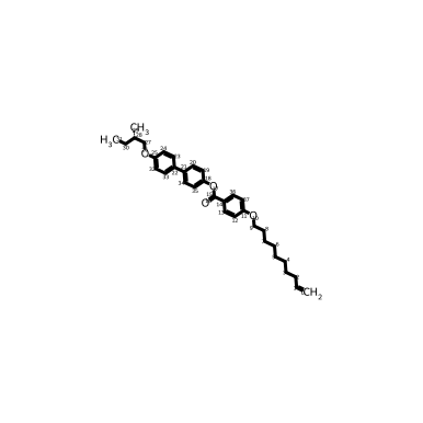 C=CCCCCCCCCOc1ccc(C(=O)Oc2ccc(-c3ccc(OC[C@@H](C)CC)cc3)cc2)cc1